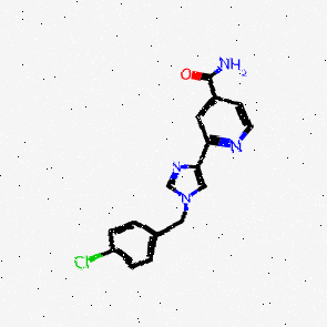 NC(=O)c1ccnc(-c2cn(Cc3ccc(Cl)cc3)cn2)c1